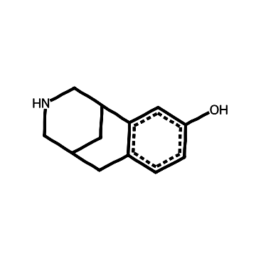 Oc1ccc2c(c1)C1CNCC(C2)C1